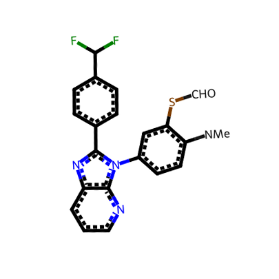 CNc1ccc(-n2c(-c3ccc(C(F)F)cc3)nc3cccnc32)cc1SC=O